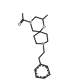 CC(=O)N1CC(C)OC2(CCN(CCc3ccccc3)CC2)C1